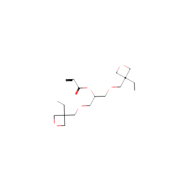 C=CC(=O)OC(COCC1(CC)COC1)COCC1(CC)COC1